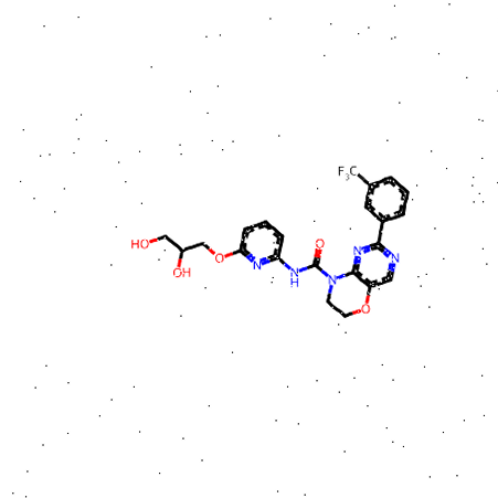 O=C(Nc1cccc(OCC(O)CO)n1)N1CCOc2cnc(-c3cccc(C(F)(F)F)c3)nc21